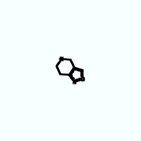 c1onc2c1C[N]CC2